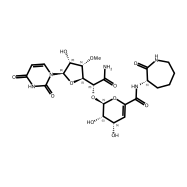 CO[C@H]1[C@@H](O)[C@H](n2ccc(=O)[nH]c2=O)O[C@@H]1[C@@H](O[C@H]1OC(C(=O)N[C@H]2CCCCNC2=O)=C[C@H](O)[C@@H]1O)C(N)=O